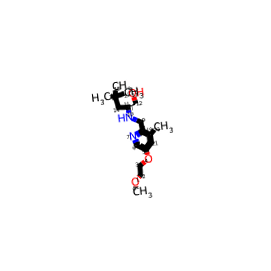 COCCOc1cnc(CN[C@@H](CO)CC(C)(C)C)c(C)c1